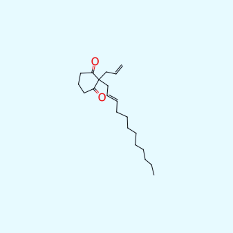 C=CCC1(CC=CCCCCCCCCC)C(=O)CCCC1=O